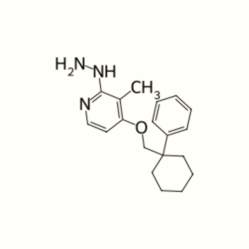 Cc1c(OCC2(c3ccccc3)CCCCC2)ccnc1NN